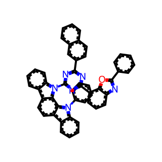 c1ccc(-c2nc3cccc(-c4nc(-c5ccc6ccccc6c5)nc(-n5c6ccccc6c6ccc7c8ccccc8n(-c8ccccc8)c7c65)n4)c3o2)cc1